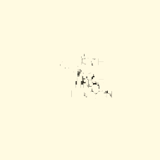 CCCC[PH](CCCC)(CCCC)CC(=O)Nc1c(C)cc(C#N)cc1C